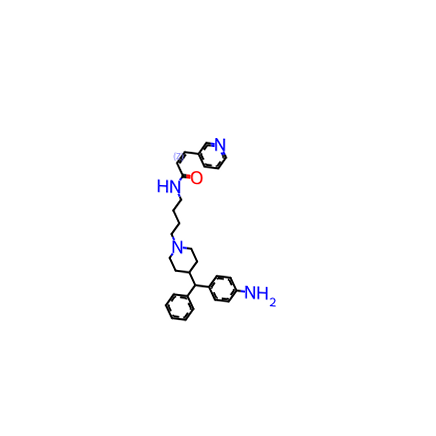 Nc1ccc(C(c2ccccc2)C2CCN(CCCCNC(=O)/C=C\c3cccnc3)CC2)cc1